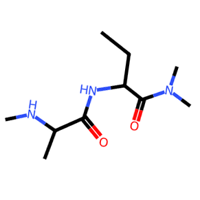 CCC(NC(=O)C(C)NC)C(=O)N(C)C